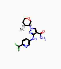 N#C[C@@H]1CCOC[C@H]1n1cc(C(N)=O)c(Nc2ccc(C(F)F)nc2)n1